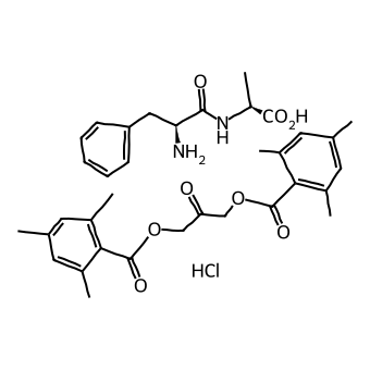 C[C@H](NC(=O)[C@@H](N)Cc1ccccc1)C(=O)O.Cc1cc(C)c(C(=O)OCC(=O)COC(=O)c2c(C)cc(C)cc2C)c(C)c1.Cl